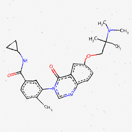 Cc1ccc(C(=O)NC2CC2)cc1-n1cnc2ccc(OCC(C)(C)N(C)C)cc2c1=O